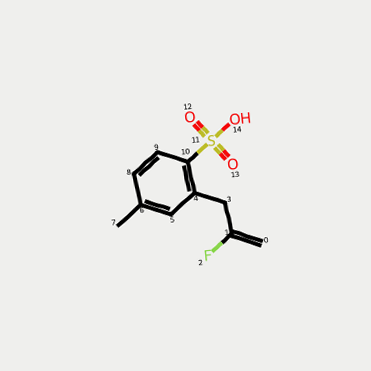 C=C(F)Cc1cc(C)ccc1S(=O)(=O)O